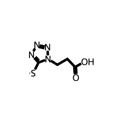 O=C(O)CCn1nnnc1[S]